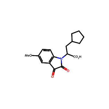 COc1ccc2c(c1)C(=O)C(=O)N2C(CC1CCCC1)C(=O)O